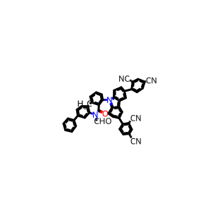 Cc1cccc(-n2c3ccc(-c4ccc(C#N)cc4C#N)cc3c3cc(-c4ccc(C#N)cc4C#N)ccc32)c1C(=O)N(C=O)c1cccc(-c2ccccc2)c1